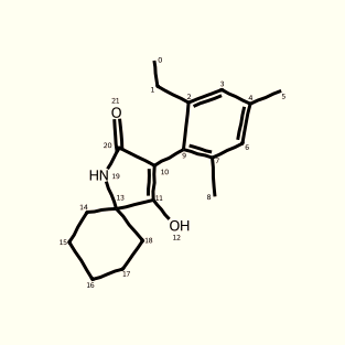 CCc1cc(C)cc(C)c1C1=C(O)C2(CCCCC2)NC1=O